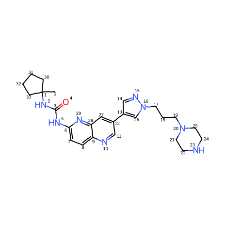 CC1(NC(=O)Nc2ccc3ncc(-c4cnn(CCCN5CCNCC5)c4)cc3n2)CCCC1